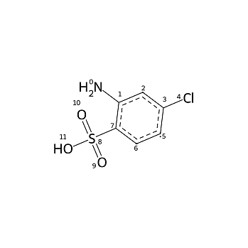 Nc1cc(Cl)[c]cc1S(=O)(=O)O